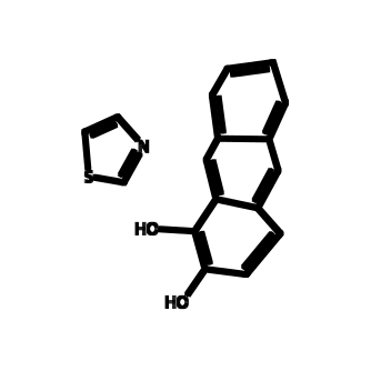 Oc1ccc2cc3ccccc3cc2c1O.c1cscn1